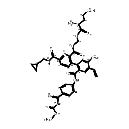 C=Cc1cc(C(=O)Nc2ccc(C(=N)NC(=O)OCCCCCC)cc2)c(-c2ccc(C(=O)NCC3CC3)nc2C(=O)OCOC(=O)[C@@H](N)CCC(=O)O)cc1OC